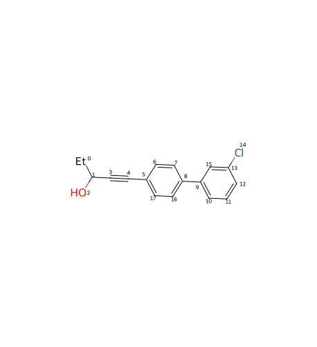 CCC(O)C#Cc1ccc(-c2cccc(Cl)c2)cc1